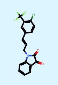 O=C1C(=O)N(CC=Cc2ccc(Cl)c(C(F)(F)F)c2)c2ccccc21